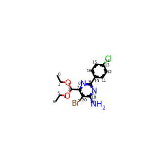 CCOC(OCC)c1nc(-c2ccc(Cl)cc2)nc(N)c1Br